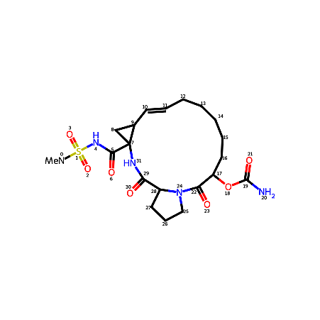 CNS(=O)(=O)NC(=O)C12CC1/C=C/CCCCCC(OC(N)=O)C(=O)N1CCCC1C(=O)N2